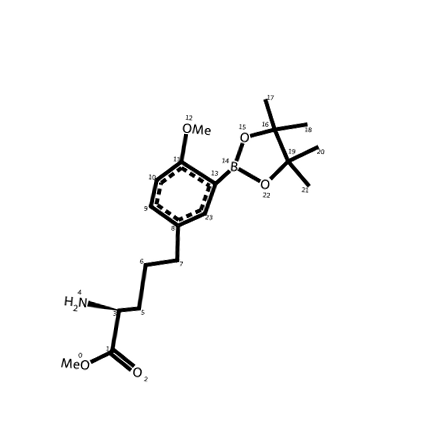 COC(=O)[C@@H](N)CCCc1ccc(OC)c(B2OC(C)(C)C(C)(C)O2)c1